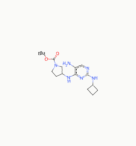 CC(C)(C)OC(=O)N1CCC(Nc2nc(NC3CCC3)ncc2N)C1